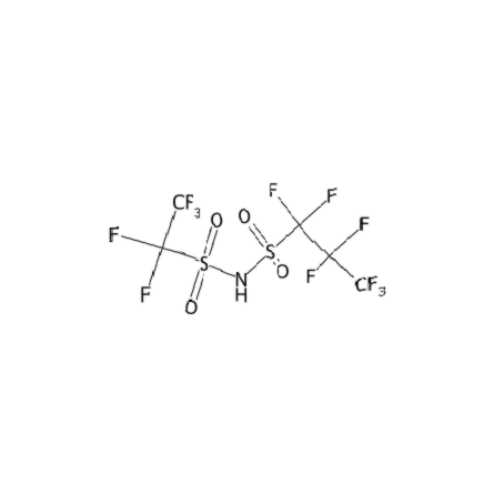 O=S(=O)(NS(=O)(=O)C(F)(F)C(F)(F)C(F)(F)F)C(F)(F)C(F)(F)F